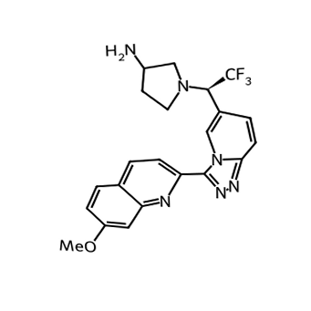 COc1ccc2ccc(-c3nnc4ccc([C@@H](N5CCC(N)C5)C(F)(F)F)cn34)nc2c1